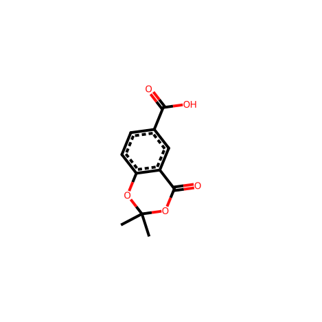 CC1(C)OC(=O)c2cc(C(=O)O)ccc2O1